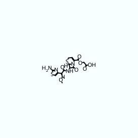 CON=C(C(=O)NC1C(=O)N2C(C(=O)OCC(=O)O)=CCS[C@@H]12)c1csc(N)n1